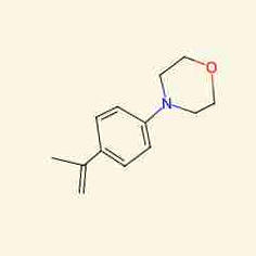 C=C(C)c1ccc(N2CCOCC2)cc1